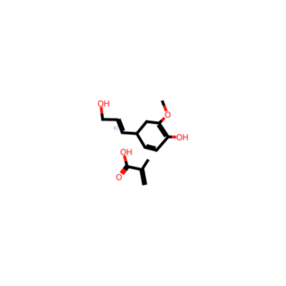 C=C(C)C(=O)O.COC1=C(O)C=CC(/C=C/CO)C1